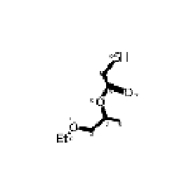 CCOCC(C)OC(=O)CS